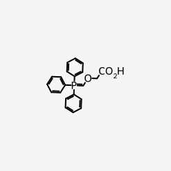 O=C(O)COC=P(c1ccccc1)(c1ccccc1)c1ccccc1